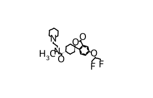 CN(CCN1CCCCC1)C(=O)[C@H]1CC[C@@]2(CC1)OC(=O)c1cc(OC(CF)CF)ccc12